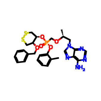 Cc1ccccc1OP(=O)(CO[C@H](C)Cn1cnc2c(N)ncnc21)O[C@H]1CSSC[C@@H]1OCc1ccccc1